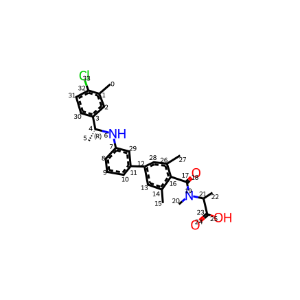 Cc1cc([C@@H](C)Nc2cccc(-c3cc(C)c(C(=O)N(C)C(C)C(=O)O)c(C)c3)c2)ccc1Cl